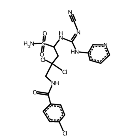 N#CN=C(Nc1cccnc1)NC(CC(Cl)(Cl)CNC(=O)c1ccc(Cl)cc1)S(N)(=O)=O